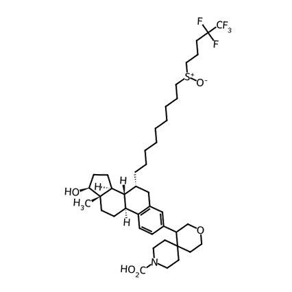 C[C@]12CC[C@@H]3c4ccc(C5COCCC56CCN(C(=O)O)CC6)cc4C[C@@H](CCCCCCCCC[S+]([O-])CCCC(F)(F)C(F)(F)F)[C@H]3[C@@H]1CC[C@@H]2O